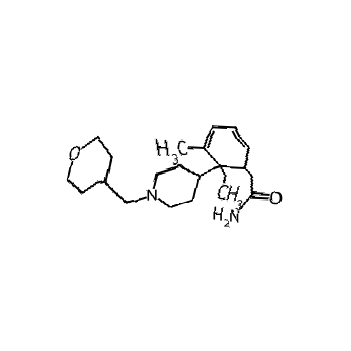 CC1=CC=CC(C(N)=O)C1(C)C1CCN(CC2CCOCC2)CC1